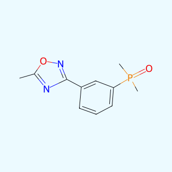 Cc1nc(-c2cccc(P(C)(C)=O)c2)no1